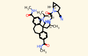 CNC(=O)c1ccc2c(c1)CCc1cc(C(=O)NC)ccc1C2(C[C@H](C)NCC(=O)N1C(C#N)CC2C[C@@H]21)C(=N)NC(C)C